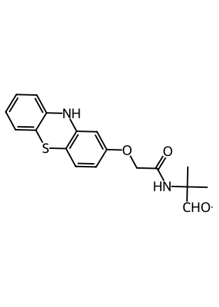 CC(C)([C]=O)NC(=O)COc1ccc2c(c1)Nc1ccccc1S2